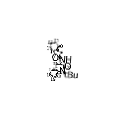 CC(C)(C)n1c(=O)c(NC(=O)Cc2ccccc2)cc2ccccc21